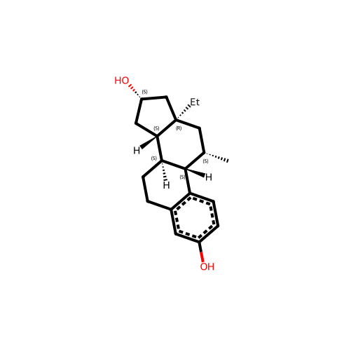 CC[C@@]12C[C@@H](O)C[C@H]1[C@@H]1CCc3cc(O)ccc3[C@H]1[C@@H](C)C2